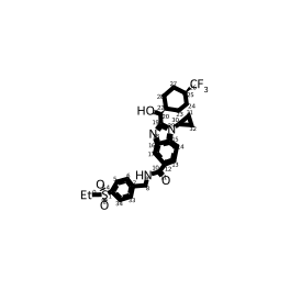 CCS(=O)(=O)c1ccc(CNC(=O)c2ccc3c(c2)nc(C(O)[C@H]2CC[C@H](C(F)(F)F)CC2)n3C2CC2)cc1